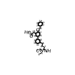 CCN(C=O)C(=N)CCCc1cccc(-c2ccc(OCc3ccccc3)c(CC(=O)O)c2)c1